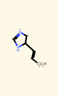 O=C(O)C=CC1CN=CN1